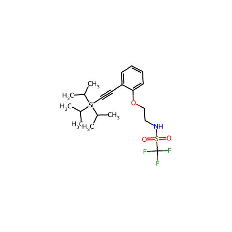 CC(C)[Si](C#Cc1ccccc1OCCNS(=O)(=O)C(F)(F)F)(C(C)C)C(C)C